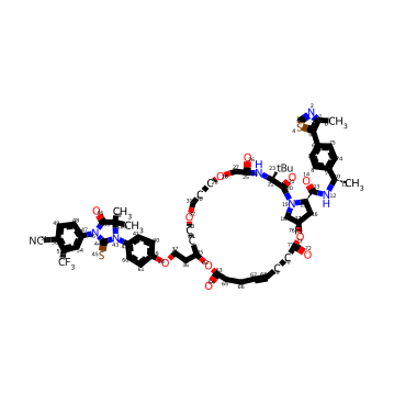 Cc1ncsc1-c1ccc([C@H](C)NC(=O)[C@@H]2C[C@@H]3CN2C(=O)[C@H](C(C)(C)C)NC(=O)COCCCOCCC(CCOc2ccc(N4C(=S)N(c5ccc(C#N)c(C(F)(F)F)c5)C(=O)C4(C)C)cc2)OC(=O)CCC=CCCC(=O)O3)cc1